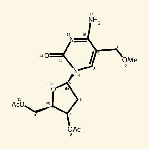 COCc1cn([C@H]2CC(OC(C)=O)[C@@H](COC(C)=O)O2)c(=O)nc1N